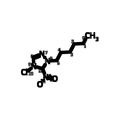 CCCCCCN1N=CN(Cl)C1[N+](=O)[O-]